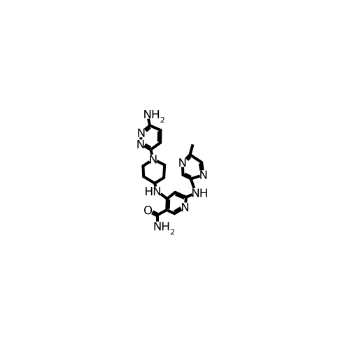 Cc1cnc(Nc2cc(NC3CCN(c4ccc(N)nn4)CC3)c(C(N)=O)cn2)cn1